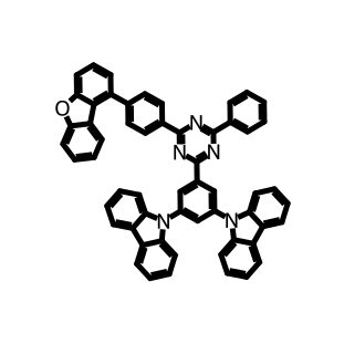 c1ccc(-c2nc(-c3ccc(-c4cccc5oc6ccccc6c45)cc3)nc(-c3cc(-n4c5ccccc5c5ccccc54)cc(-n4c5ccccc5c5ccccc54)c3)n2)cc1